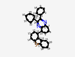 c1ccc(-c2nc3cccc(-c4cccc5sc6ccccc6c45)c3nc2-c2ccccc2)cc1